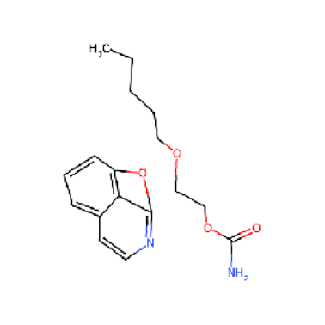 CCCCCOCCOC(N)=O.c1cc2c3c(nccc3c1)O2